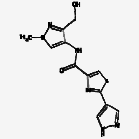 Cn1cc(NC(=O)c2csc(-c3cn[nH]c3)n2)c(CO)n1